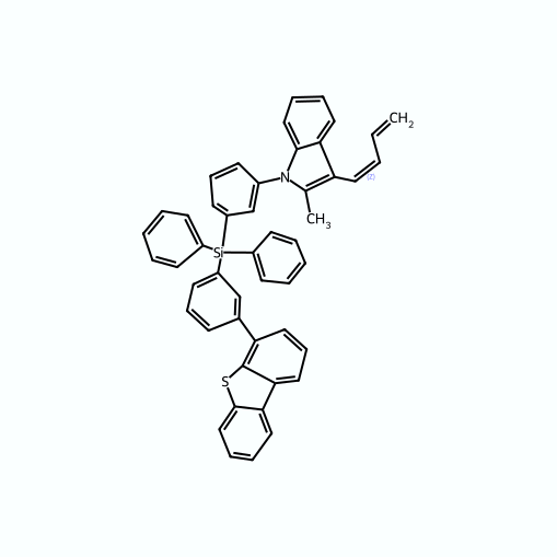 C=C/C=C\c1c(C)n(-c2cccc([Si](c3ccccc3)(c3ccccc3)c3cccc(-c4cccc5c4sc4ccccc45)c3)c2)c2ccccc12